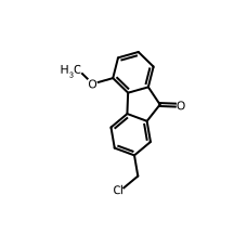 COc1cccc2c1-c1ccc(CCl)cc1C2=O